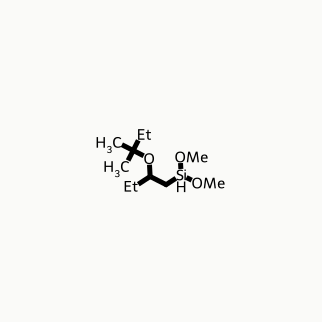 CCC(C[SiH](OC)OC)OC(C)(C)CC